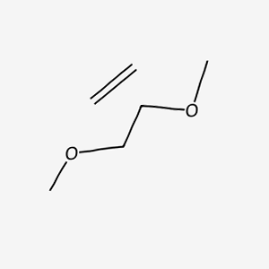 C=C.COCCOC